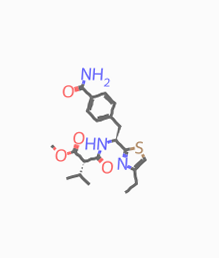 CCc1csc([C@H](Cc2ccc(C(N)=O)cc2)NC(=O)[C@@H](C(=O)OC)C(C)C)n1